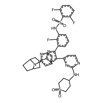 O=S1(=O)CCC(Nc2nccc(-c3sc(N4CC5CCC(C4)N5c4ccccn4)nc3-c3cccc(NS(=O)(=O)c4c(F)cccc4F)c3F)n2)CC1